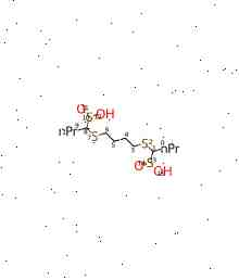 CCCC(SCCCCSC(CCC)S(=O)O)S(=O)O